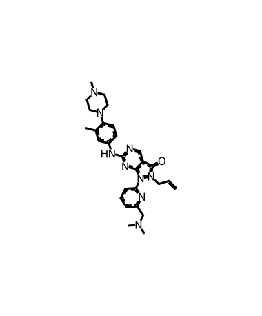 C=CCn1c(=O)c2cnc(Nc3ccc(N4CCN(C)CC4)c(C)c3)nc2n1-c1cccc(CN(C)C)n1